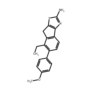 CCc1c(-c2ccc(OC)cc2)ccc2c1Cc1sc(N)nc1-2